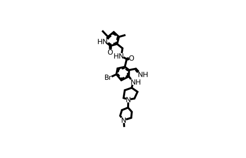 Cc1cc(C)c(CNC(=O)c2cc(Br)cc(NC3CCN(C4CCN(C)CC4)CC3)c2C=N)c(=O)[nH]1